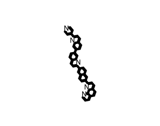 c1cnc2c(c1)ccc1ccc(-c3ccc4cc(-c5ccc6ccc(-c7ccc8ccc(-c9ccncc9)nc8c7)cc6n5)ccc4c3)nc12